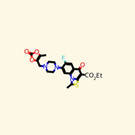 CCOC(=O)c1c2n(c3cc(N4CCN(Cc5oc(=O)oc5C)CC4)c(F)cc3c1=O)C(C)S2